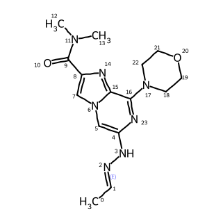 C/C=N/Nc1cn2cc(C(=O)N(C)C)nc2c(N2CCOCC2)n1